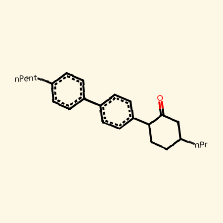 CCCCCc1ccc(-c2ccc(C3CCC(CCC)CC3=O)cc2)cc1